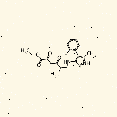 CCOC(=O)C(=O)CC(=O)C(C)CNc1n[nH]c(C)c1-c1ccccc1F